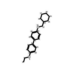 CCOc1ccc(-c2ccc(OCC3CC[CH]CC3)cc2)cc1